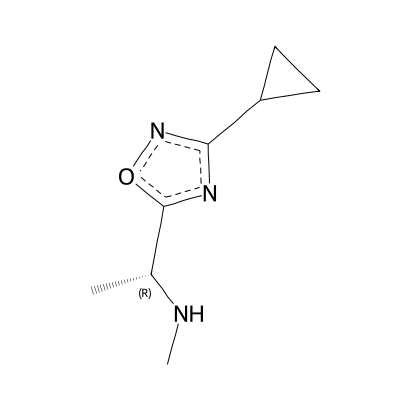 CN[C@H](C)c1nc(C2CC2)no1